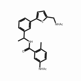 CC(=O)NCc1ccc(-c2cccc(C(C)NC(=O)c3cc(NC(C)=O)ccc3C)c2)s1